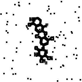 C=C1NC(=O)N(c2cc(Cl)c(Oc3ccc4c(c3F)CCNC4=O)c(Cl)c2)N=C1C#N